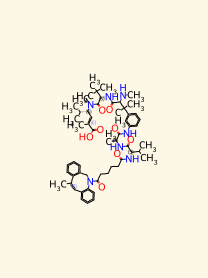 CNC(C(=O)N[C@H](C(=O)N(C)[C@H](/C=C(\C)C(=O)O)C(C)C)C(C)(C)C)C(C)(C)c1cccc(NC(=O)[C@H](C)NC(=O)[C@@H](NC(=O)CCCCC(=O)N2Cc3ccccc3/C(C)=C\c3ccccc32)C(C)C)c1